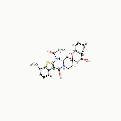 CNC(=O)Nc1sc2c(OC)cccc2c1C(=O)N1CCC2(CC1)CC(=O)c1ccccc1O2